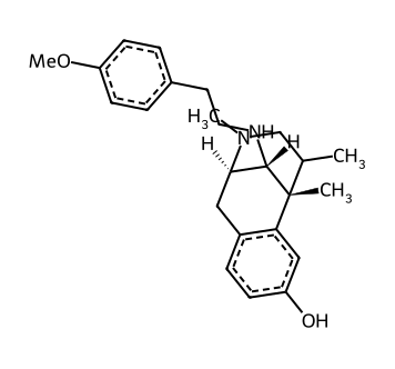 COc1ccc(CCN[C@H]2[C@H]3Cc4ccc(O)cc4[C@@]2(C)C(C)CN3C)cc1